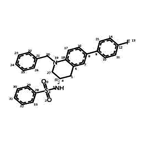 O=S(=O)(N[C@H]1Cc2cc(-c3ccc(F)cc3)ccc2N(Cc2ccccc2)C1)c1ccccc1